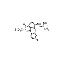 CCOC(=O)c1cn(-c2ncc(F)cc2F)c2nc(NCC(C)N)ccc2c1=O